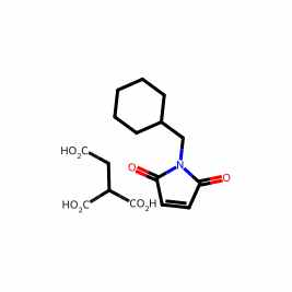 O=C(O)CC(C(=O)O)C(=O)O.O=C1C=CC(=O)N1CC1CCCCC1